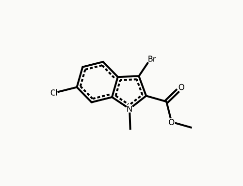 COC(=O)c1c(Br)c2ccc(Cl)cc2n1C